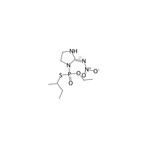 CCOP(=O)(SC(C)CC)N1CCN/C1=N/[N+](=O)[O-]